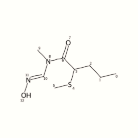 CCCC(SC)C(=O)N(C)C=NO